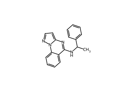 CC(Nc1nc2ccnn2c2ccccc12)c1ccccc1